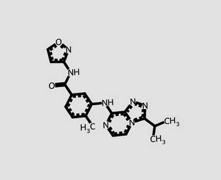 Cc1ccc(C(=O)Nc2ccon2)cc1Nc1nccn2c(C(C)C)nnc12